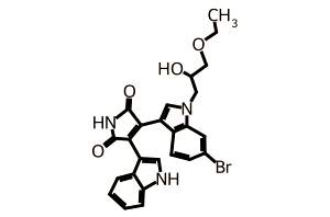 CCOCC(O)Cn1cc(C2=C(c3c[nH]c4ccccc34)C(=O)NC2=O)c2ccc(Br)cc21